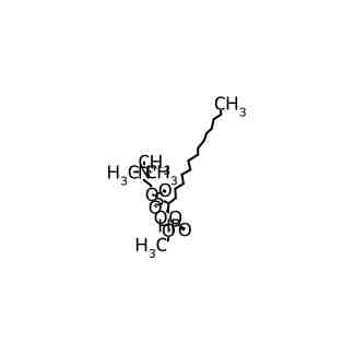 CCCCCCCCCCCCCCC(C(=O)O[PH](=O)OCC)S(=O)(=O)OCC[N+](C)(C)C